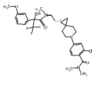 COc1cccc(C(O)(C(=O)N(C)CC[C@@H]2CC23CCN(c2ccc(C(=O)N(C)C)c(Cl)c2)CC3)C(F)(F)F)c1